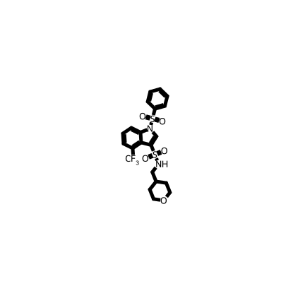 O=S(=O)(NCC1CCOCC1)c1cn(S(=O)(=O)c2ccccc2)c2cccc(C(F)(F)F)c12